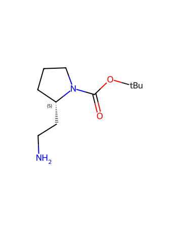 CC(C)(C)OC(=O)N1CCC[C@H]1CCN